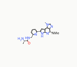 CNc1nc2[nH]c(-c3cccc(CNC(=O)[C@@H](C)N)n3)cc2c2c1ncn2C